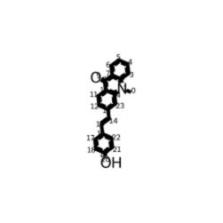 Cn1c2ccccc2c(=O)c2ccc(/C=C/c3ccc(O)cc3)cc21